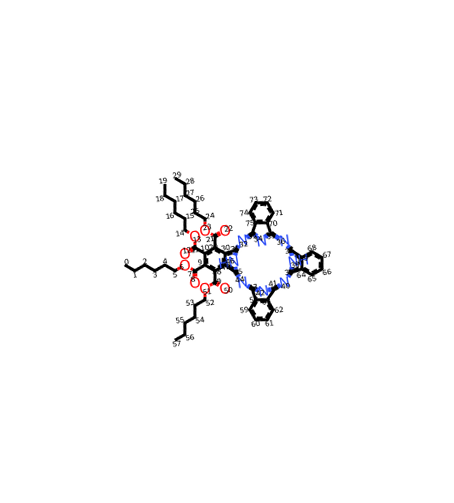 CCCCCCOC(=O)c1c(C(=O)OCCCCCC)c(C(=O)OCCCCCC)c2c3nc4nc(nc5[nH]c(nc6nc(nc([nH]3)c2c1C(=O)OCCCCCC)-c1ccccc1-6)c1ccccc51)-c1ccccc1-4